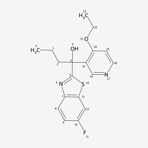 CCCC(O)(c1nc2ccc(F)cc2s1)c1cnccc1OCC